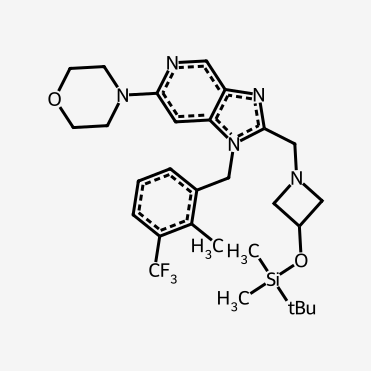 Cc1c(Cn2c(CN3CC(O[Si](C)(C)C(C)(C)C)C3)nc3cnc(N4CCOCC4)cc32)cccc1C(F)(F)F